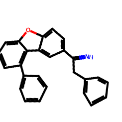 N=C(Cc1ccccc1)c1ccc2oc3cccc(-c4ccccc4)c3c2c1